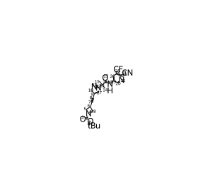 CC(C)(C)OC(=O)N1CC(C#Cc2cnn(C(C)(C)C(=O)Nc3cnc(C#N)c(C(F)(F)F)c3)c2)C1